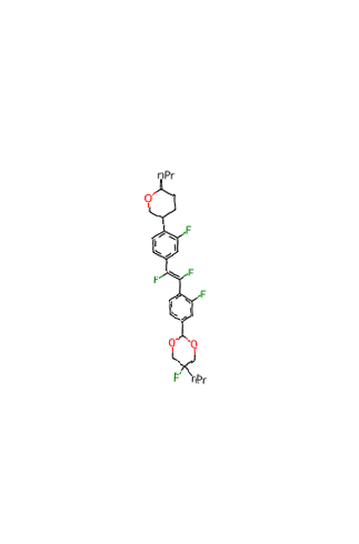 CCCC1CCC(c2ccc(/C(F)=C(\F)c3ccc(C4OCC(F)(CCC)CO4)cc3F)cc2F)CO1